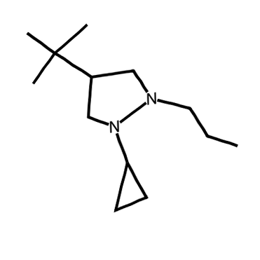 CCCN1CC(C(C)(C)C)CN1C1CC1